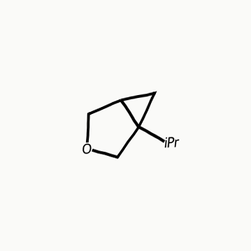 CC(C)C12COCC1C2